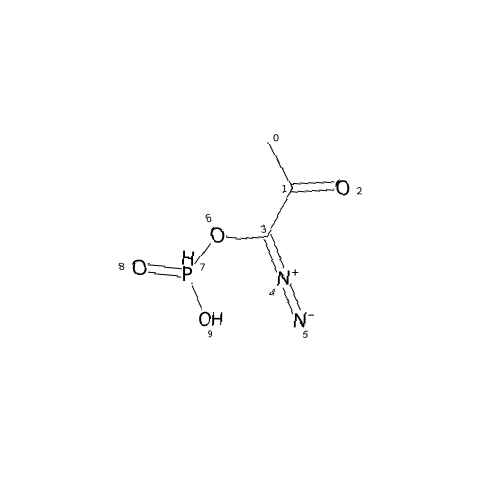 CC(=O)C(=[N+]=[N-])O[PH](=O)O